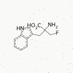 NC(CF)(Cc1c[nH]c2ccccc12)C(=O)O